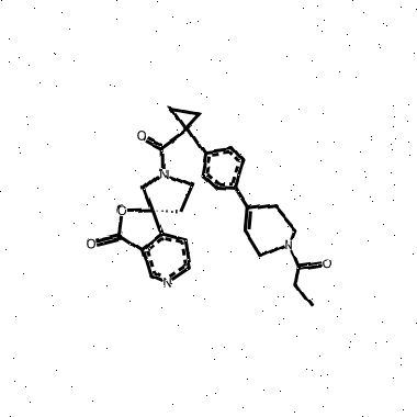 CCC(=O)N1CC=C(c2ccc(C3(C(=O)N4CC[C@@]5(C4)OC(=O)c4cnccc45)CC3)cc2)CC1